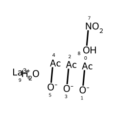 CC(=O)[O-].CC(=O)[O-].CC(=O)[O-].O.O=[N+]([O-])O.[La+3]